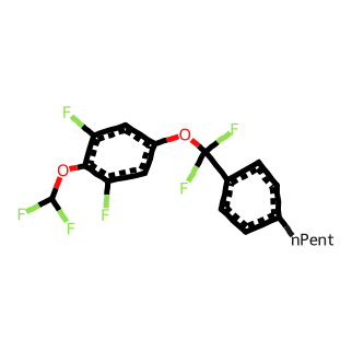 CCCCCc1ccc(C(F)(F)Oc2cc(F)c(OC(F)F)c(F)c2)cc1